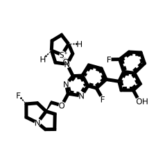 [O-][S+]1[C@@H]2CC[C@H]1CN(c1nc(OC[C@@]34CCCN3C[C@H](F)C4)nc3c(F)c(-c4cc(O)cc5cccc(F)c45)ccc13)C2